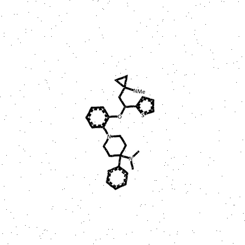 CNC1(CC(Oc2ccccc2N2CCC(c3ccccc3)(N(C)C)CC2)c2cccs2)CC1